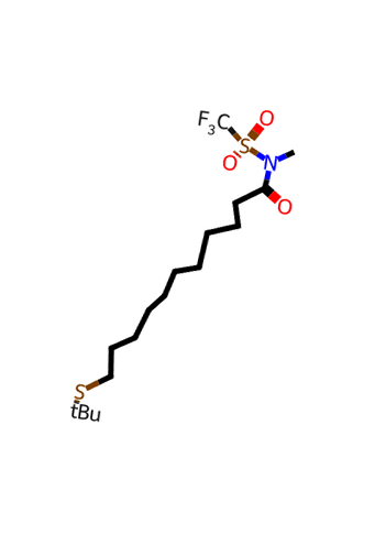 CN(C(=O)CCCCCCCCCCSC(C)(C)C)S(=O)(=O)C(F)(F)F